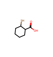 O=C(O)C1CCCCC1S